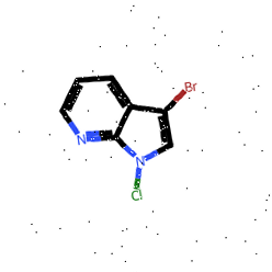 Cln1cc(Br)c2cccnc21